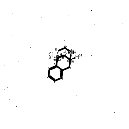 [C].c1ccc2c(c1)C[C@H]1NCC[C@@]23CCCC[C@@H]13